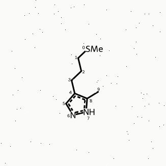 CSCCCc1cn[nH]c1C